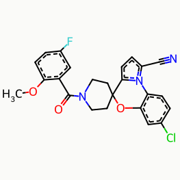 COc1ccc(F)cc1C(=O)N1CCC2(CC1)Oc1cc(Cl)ccc1-n1c(C#N)ccc12